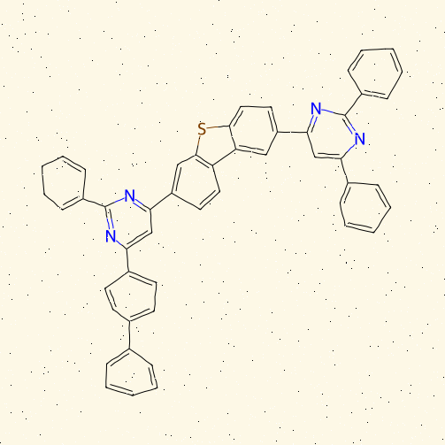 C1=CC(c2nc(-c3ccc(-c4ccccc4)cc3)cc(-c3ccc4c(c3)sc3ccc(-c5cc(-c6ccccc6)nc(-c6ccccc6)n5)cc34)n2)=CCC1